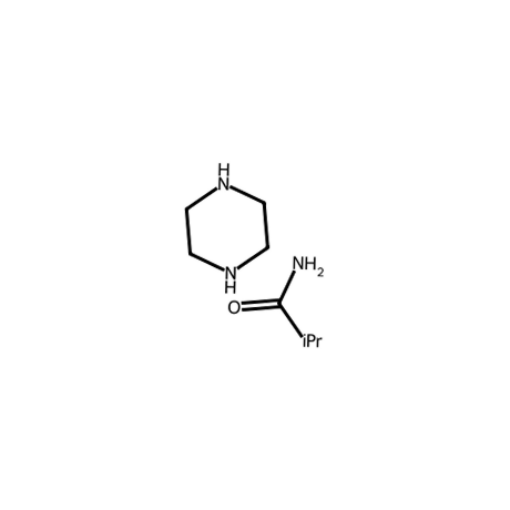 C1CNCCN1.CC(C)C(N)=O